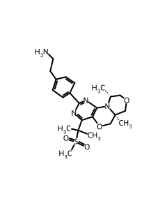 C[C@@H]1COC[C@@]2(C)COc3c(nc(-c4ccc(CCN)cc4)nc3C(C)(C)S(C)(=O)=O)N12